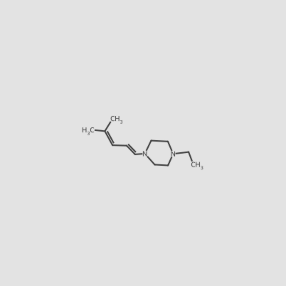 CCN1CCN(/C=C/C=C(C)C)CC1